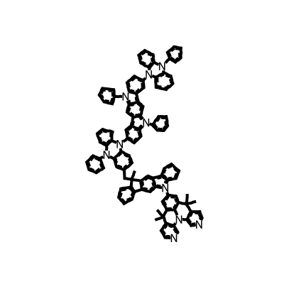 CC1(C)c2ccncc2N2c3cnccc3C(C)(C)c3cc(-n4c5ccccc5c5cc6c(cc54)-c4ccccc4C6(C)Cc4ccc5c(c4)N(c4ccccc4)c4ccccc4N5c4ccc5c(c4)c4cc6c(cc4n5-c4ccccc4)c4cc(N5c7ccccc7N(c7ccccc7)c7ccccc75)ccc4n6-c4ccccc4)cc1c32